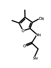 Cc1oc(NC(=O)CS)c(C#N)c1C